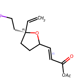 C=C[C@]1(CCI)CCC(/C=C/C(=O)OC(C)=O)O1